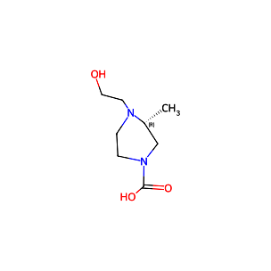 C[C@@H]1CN(C(=O)O)CCN1CCO